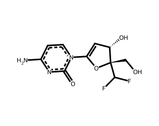 Nc1ccn(C2=C[C@H](O)[C@](CO)(C(F)F)O2)c(=O)n1